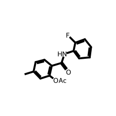 CC(=O)Oc1cc(C)ccc1C(=O)Nc1ccccc1F